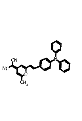 CC1=CC(=C(C#N)C#N)C=C(C=Cc2ccc(N(c3ccccc3)c3ccccc3)cc2)O1